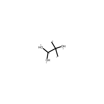 CC(C)(O)C(O)O